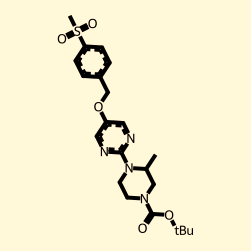 CC1CN(C(=O)OC(C)(C)C)CCN1c1ncc(OCc2ccc(S(C)(=O)=O)cc2)cn1